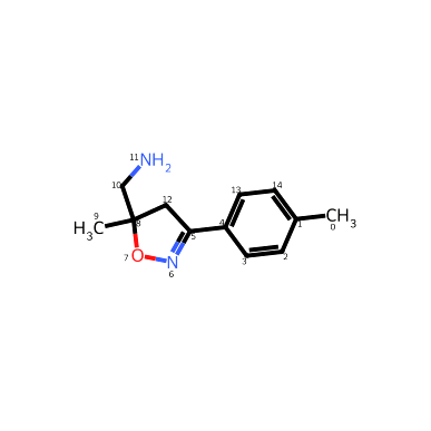 Cc1ccc(C2=NOC(C)(CN)C2)cc1